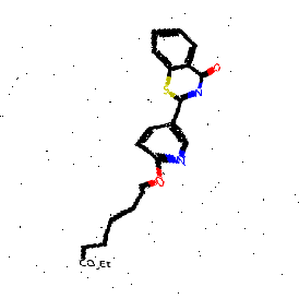 CCOC(=O)CCCCCOc1ccc(-c2nc(=O)c3ccccc3s2)cn1